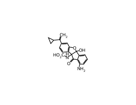 C=C(c1ccc2c(c1)OC1(O)c3cccc(N)c3C(=O)C21NC(=O)O)C1CC1